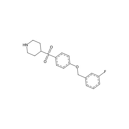 O=S(=O)(c1ccc(OCc2cccc(F)c2)cc1)C1CCNCC1